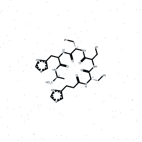 CC(C)CC(NC(=O)[C@H](CC(C)C)NC(=O)CCc1cnc[nH]1)C(=O)N[C@@H](CC(C)C)C(=O)NC(Cc1cnc[nH]1)C(=O)N[C@@H](C)C(=O)O